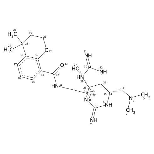 CN(C)C[C@@H]1NC(=N)N2CC(NC(=O)c3cccc4c3OCCC4(C)C)[C@@H](O)C23NC(=N)NC13